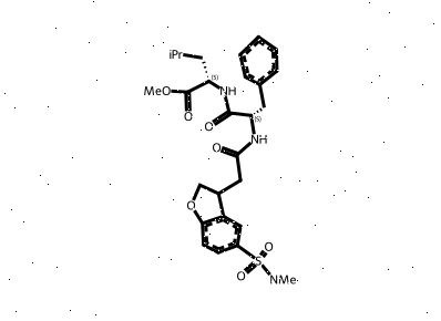 CNS(=O)(=O)c1ccc2c(c1)C(CC(=O)N[C@@H](Cc1ccccc1)C(=O)N[C@@H](CC(C)C)C(=O)OC)CO2